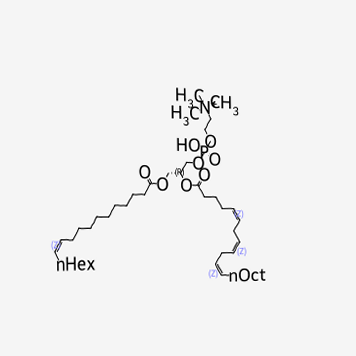 CCCCCC/C=C\CCCCCCCCCC(=O)OC[C@H](COP(=O)(O)OCC[N+](C)(C)C)OC(=O)CCC/C=C\C/C=C\C/C=C\CCCCCCCC